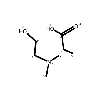 CCC(=O)O.CN(C)CCO